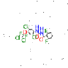 O=C(NC(=O)c1c(F)cccc1F)Nc1cc(Cl)c(OC(F)(F)C(Cl)Cl)cc1Cl